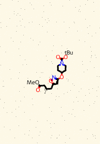 COC(=O)C[C@@H](C)Cc1cc(OC2CCN(C(=O)OC(C)(C)C)CC2)no1